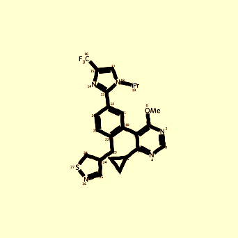 COc1ncnc(C2CC2)c1-c1cc(-c2nc(C(F)(F)F)cn2C(C)C)ccc1CC1C=NSC1